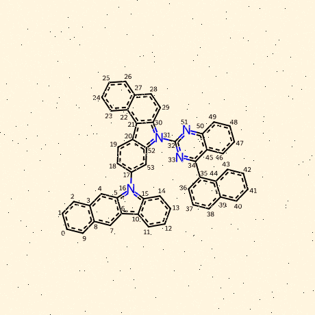 c1ccc2cc3c(cc2c1)c1ccccc1n3-c1ccc2c3c4ccccc4ccc3n(-c3nc(-c4cccc5ccccc45)c4ccccc4n3)c2c1